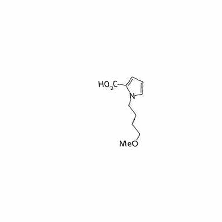 COCCCCn1cccc1C(=O)O